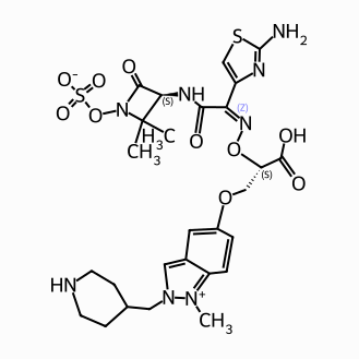 C[n+]1c2ccc(OC[C@H](O/N=C(\C(=O)N[C@@H]3C(=O)N(OS(=O)(=O)[O-])C3(C)C)c3csc(N)n3)C(=O)O)cc2cn1CC1CCNCC1